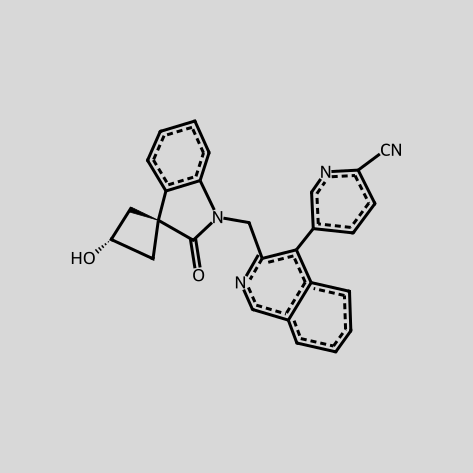 N#Cc1ccc(-c2c(CN3c4ccccc4[C@]4(C[C@@H](O)C4)C3=O)ncc3ccccc23)cn1